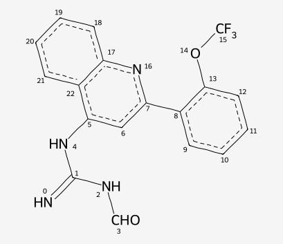 N=C(NC=O)Nc1cc(-c2ccccc2OC(F)(F)F)nc2ccccc12